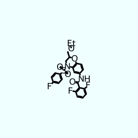 CCOCC1CN(S(=O)(=O)c2ccc(F)cc2)c2cc(NC(=O)c3c(F)cccc3F)ccc2O1